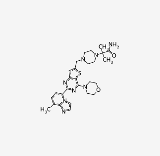 Cc1ccc(-c2nc(N3CCOCC3)c3sc(CN4CCN(C(C)(C)C(N)=O)CC4)cc3n2)n2ccnc12